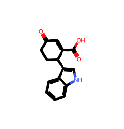 O=C1C=C(C(=O)O)C(c2c[nH]c3ccccc23)CC1